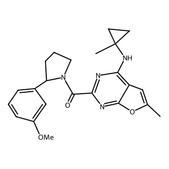 COc1cccc(C2CCCN2C(=O)c2nc(NC3(C)CC3)c3cc(C)oc3n2)c1